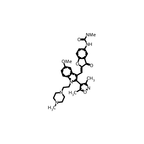 CNC(=O)Nc1ccc2c(c1)C(=O)/C(=C/c1c(-c3c(C)noc3C)n(CCN3CCN(C)CC3)c3ccc(OC)cc13)O2